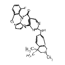 CN1Cc2cc(Nc3ncc4c(n3)N3CCN=C3N(c3c(F)cccc3Cl)C4=O)ccc2C(C)(C)C1